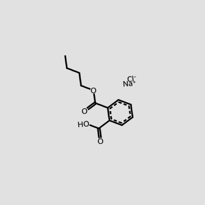 CCCCOC(=O)c1ccccc1C(=O)O.[Cl-].[Na+]